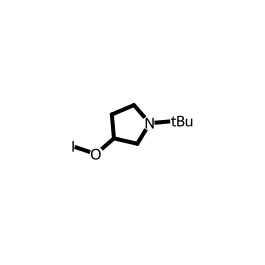 CC(C)(C)N1CCC(OI)C1